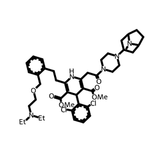 CCN(CC)CCOCc1ccccc1CCC1=C(C(=O)OC)C(c2c(Cl)cccc2Cl)C(C(=O)OC)=C(CC(=O)N2CCN(C3CC4CCC(C3)N4C)CC2)N1